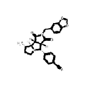 C[C@H]1CCN2[C@@H]1[C@@H]1C(=O)N(Cc3ccc4c(c3)OCO4)C(=O)[C@@H]1[C@@H]2c1ccc(C#N)cc1